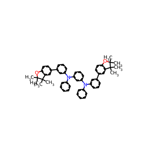 CC1(C)Oc2ccc(-c3cccc(N(c4ccccc4)c4cccc(N(c5ccccc5)c5cccc(-c6ccc7c(c6)C(C)(C)C(C)(C)O7)c5)c4)c3)cc2C1(C)C